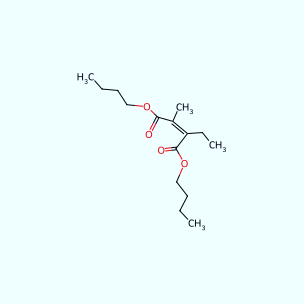 CCCCOC(=O)/C(C)=C(/CC)C(=O)OCCCC